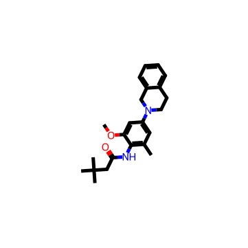 COc1cc(N2CCc3ccccc3C2)cc(C)c1NC(=O)CC(C)(C)C